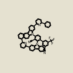 N#Cc1cc(-c2ccc(-n3c4ccccc4c4ccc(-c5cccc(-c6ccccc6)n5)cc43)c(C#N)c2-n2c3ccccc3c3ccc(-c4cccc(-c5ccccc5)n4)cc32)cc(C(F)(F)F)c1